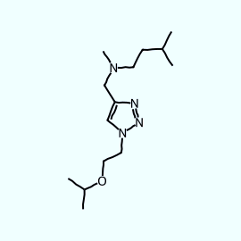 CC(C)CCN(C)Cc1cn(CCOC(C)C)nn1